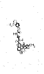 Cc1cc(S(=O)(=O)N2CC(C(=O)NC34CC(NC(=O)COc5ccc(Cl)c(C)c5)(C3)C4)Oc3ccc(Cl)cc32)c(C(F)(F)F)o1